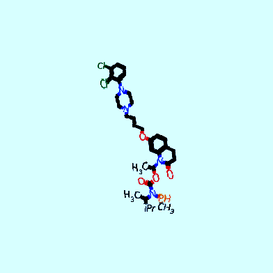 CPN(C(=O)OC(C)N1C(=O)CCc2ccc(OCCCCN3CCN(c4cccc(Cl)c4Cl)CC3)cc21)C(C)C(C)C